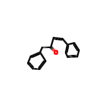 O=C(/C=C\c1ccccc1)Cc1ccccc1